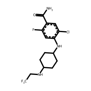 NC(=O)c1cc(Cl)c(NC2CCC(NCC(F)(F)F)CC2)cc1F